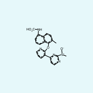 Cc1ccc2c(NC(=O)O)cccc2c1Oc1ncccc1-c1ccnc([S+](C)[O-])n1